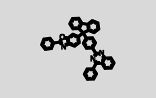 c1ccc(-c2nc3ccc(C4(c5ccc(-c6nc(-c7ccccc7)c7ccccc7n6)cc5)c5ccccc5-c5ccccc54)cc3o2)cc1